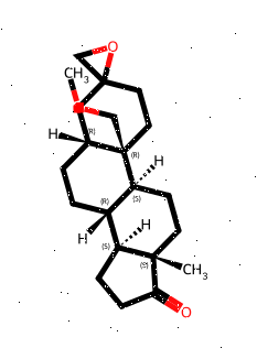 COC[C@]12CCC3(CO3)C[C@H]1CC[C@@H]1[C@@H]2CC[C@]2(C)C(=O)CC[C@@H]12